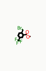 COC(=O)c1cc(C(F)(F)F)ccc1CBr